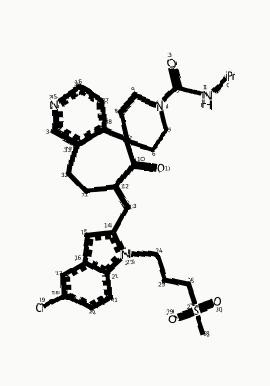 CC(C)NC(=O)N1CCC2(CC1)C(=O)C(Cc1cc3cc(Cl)ccc3n1CCCS(C)(=O)=O)CCc1cnccc12